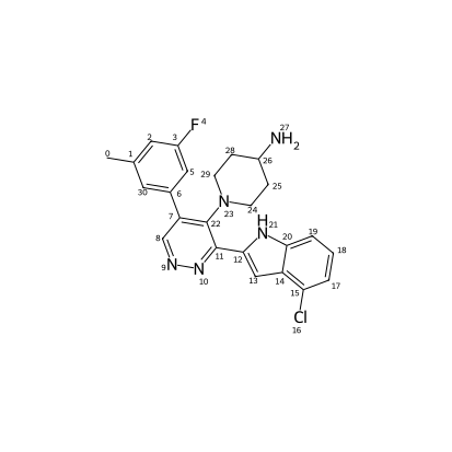 Cc1cc(F)cc(-c2cnnc(-c3cc4c(Cl)cccc4[nH]3)c2N2CCC(N)CC2)c1